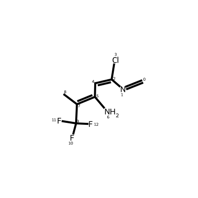 C=N/C(Cl)=C\C(N)=C(/C)C(F)(F)F